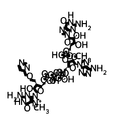 CO[C@@H]1[C@H](OP(=O)(O)OC[C@H]2O[C@@H](n3cnc4c(=O)[nH]c(N)nc43)[C@H](O)[C@@H]2O)[C@@H](COP(=O)(O)OP(=O)(O)OP(=O)(O)OC[C@H]2OC(n3c[n+](C)c4c(=O)[nH]c(N)nc43)[C@H](O)[C@@H]2CCOCc2ccncn2)O[C@H]1n1cnc2c(N)ncnc21